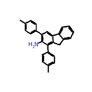 Cc1ccc(-c2cc3c(c(-c4ccc(C)cc4)c2N)Cc2ccccc2-3)cc1